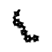 CC1CN(Cc2ccc3nc(Cn4cc(-c5cncc(-n6cccc6)c5)nn4)cn3c2)C1